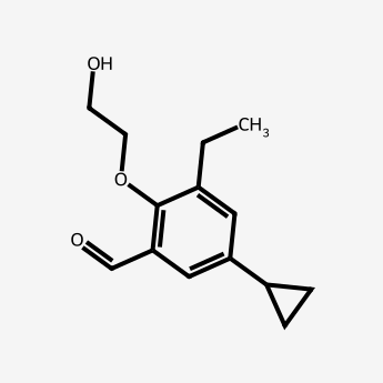 CCc1cc(C2CC2)cc(C=O)c1OCCO